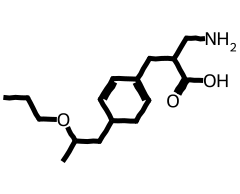 CCCOC(C)CC1C=CC(CC(CN)C(=O)O)=CC1